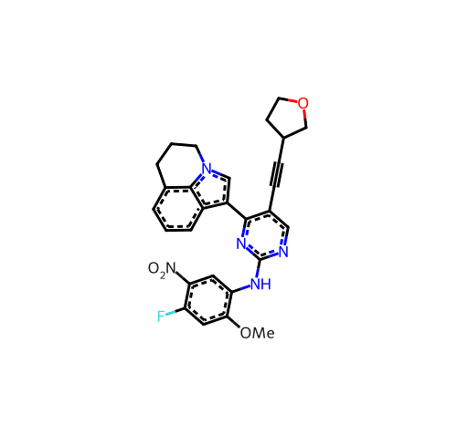 COc1cc(F)c([N+](=O)[O-])cc1Nc1ncc(C#CC2CCOC2)c(-c2cn3c4c(cccc24)CCC3)n1